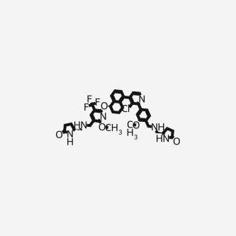 COc1cc(-c2nccc(-c3cccc4c3CCC[C@@H]4Oc3nc(OC)c(CNC[C@H]4CCC(=O)N4)cc3C(F)(F)F)c2Cl)ccc1CNC[C@H]1CCC(=O)N1